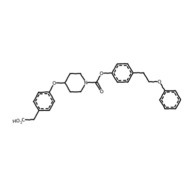 O=C(O)Cc1ccc(OC2CCN(C(=O)Oc3ccc(CCOc4ccccc4)cc3)CC2)cc1